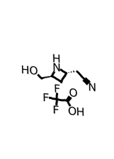 N#CC[C@@H]1C[C@@H](CO)N1.O=C(O)C(F)(F)F